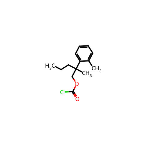 CCCC(C)(COC(=O)Cl)c1ccccc1C